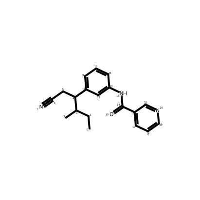 CCC(C)C(CC#N)c1cccc(NC(=O)c2cccnc2)c1